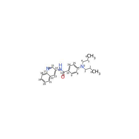 CCCN(CCC)c1ccc(C(=O)Nc2cnc3ccccc3c2)cc1